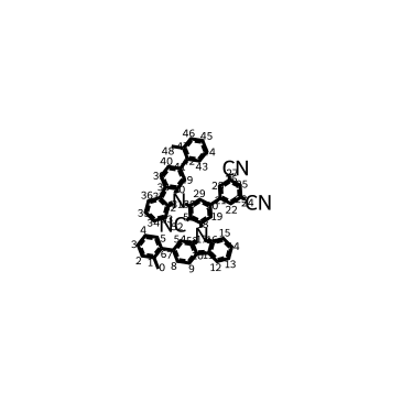 Cc1ccccc1-c1ccc2c3ccccc3n(-c3cc(-c4cc(C#N)cc(C#N)c4)cc(-n4c5ccccc5c5ccc(-c6ccccc6C)cc54)c3C#N)c2c1